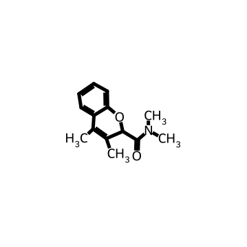 CC1=C(C)C(C(=O)N(C)C)Oc2ccccc21